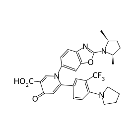 C[C@@H]1CC[C@H](C)N1c1nc2ccc(-n3cc(C(=O)O)c(=O)cc3-c3ccc(N4CCCC4)c(C(F)(F)F)c3)cc2o1